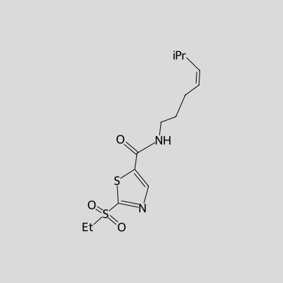 CCS(=O)(=O)c1ncc(C(=O)NCCC/C=C\C(C)C)s1